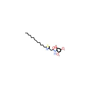 CCCCCCCCCCCCCc1nc(CC(=O)Nc2c(OC)cc(OC)cc2OC)cs1